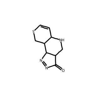 O=C1N=NC2C1CNC1C=CSCC12